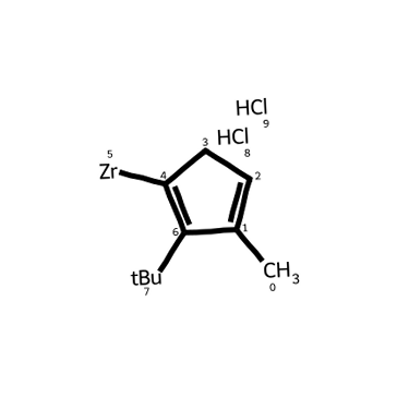 CC1=CC[C]([Zr])=C1C(C)(C)C.Cl.Cl